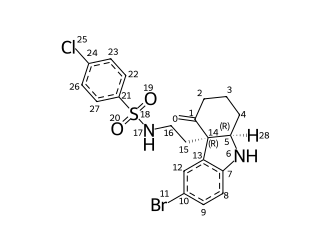 C=C1CCC[C@H]2Nc3ccc(Br)cc3[C@@]12CCNS(=O)(=O)c1ccc(Cl)cc1